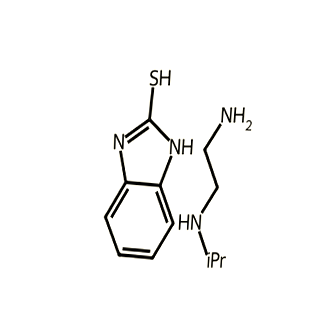 CC(C)NCCN.Sc1nc2ccccc2[nH]1